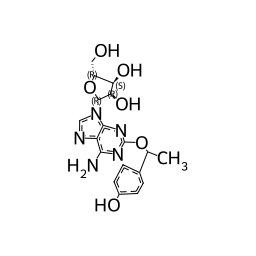 CC(Oc1nc(N)c2ncn([C@@H]3O[C@H](CO)[C@@H](O)[C@H]3O)c2n1)c1ccc(O)cc1